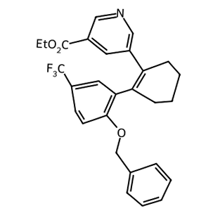 CCOC(=O)c1cncc(C2=C(c3cc(C(F)(F)F)ccc3OCc3ccccc3)CCCC2)c1